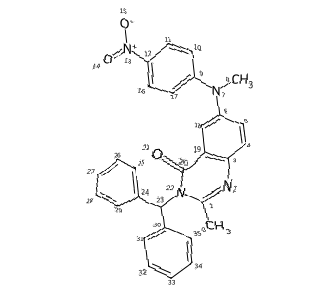 Cc1nc2ccc(N(C)c3ccc([N+](=O)[O-])cc3)cc2c(=O)n1C(c1ccccc1)c1ccccc1